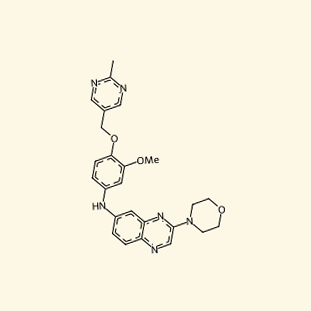 COc1cc(Nc2ccc3ncc(N4CCOCC4)nc3c2)ccc1OCc1cnc(C)nc1